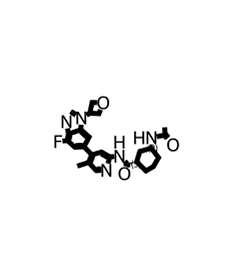 CC(=O)N[C@@H]1CCC[C@H](C(=O)Nc2cc(-c3cc(F)c4ncn(C5COC5)c4c3)c(C)cn2)C1